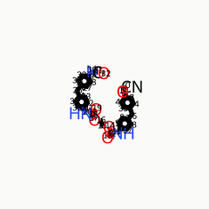 N#COc1ccc(Cc2ccc(NC(=O)OCCOC(=O)Nc3ccc(Cc4ccc(N=C=O)cc4)cc3)cc2)cc1